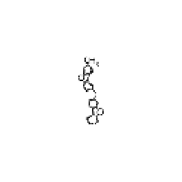 Cc1ccc2c(c1)oc1ccc(Cc3ccc4c(c3)oc3ccccc34)cc12